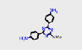 CNc1nc(-c2ccc(N)cc2)nc(-c2ccc(N)cc2)n1